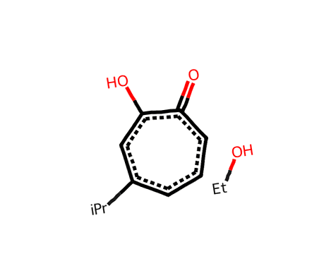 CC(C)c1cccc(=O)c(O)c1.CCO